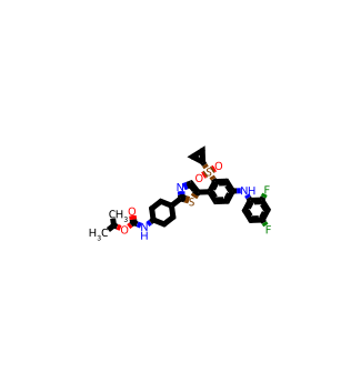 CC(C)OC(=O)NC1CCC(c2ncc(-c3ccc(Nc4ccc(F)cc4F)cc3S(=O)(=O)C3CC3)s2)CC1